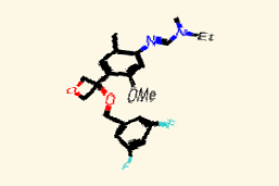 CCN(C)C=Nc1cc(OC)c(C2(OCc3cc(F)cc(F)c3)COC2)cc1C